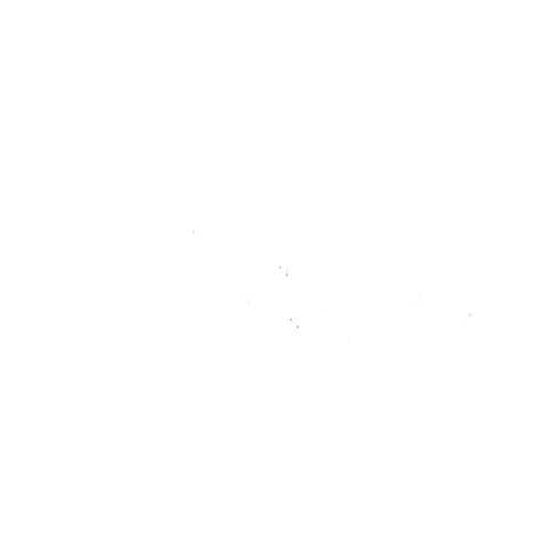 CC(C)(C)c1ccc(OCC2Cn3cc(CCO[C@H]4CCCCO4)c(=O)nc3O2)cc1